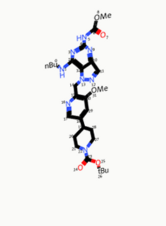 CCCCNc1nc(NC(=O)OC)nc2cnn(Cc3ncc(C4CCN(C(=O)OC(C)(C)C)CC4)cc3OC)c12